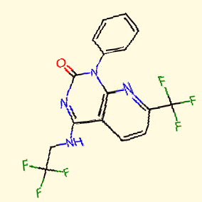 O=c1nc(NCC(F)(F)F)c2ccc(C(F)(F)F)nc2n1-c1ccccc1